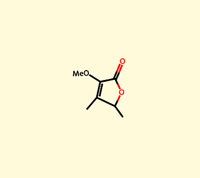 COC1=C(C)C(C)OC1=O